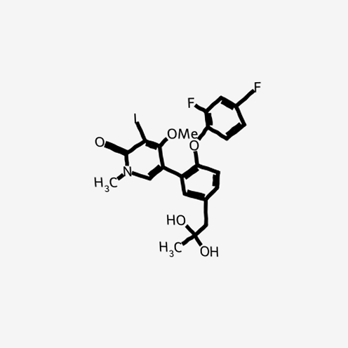 COc1c(-c2cc(CC(C)(O)O)ccc2Oc2ccc(F)cc2F)cn(C)c(=O)c1I